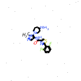 Cn1ncc(NC(=O)c2csc(-c3c(F)cccc3F)n2)c1N1CCC[C@@H](N)CC1